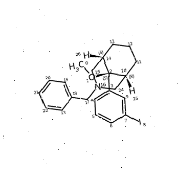 CO[C@]1(c2cccc(I)c2)[C@@H]2CCC[C@H]1CN(Cc1ccccc1)C2